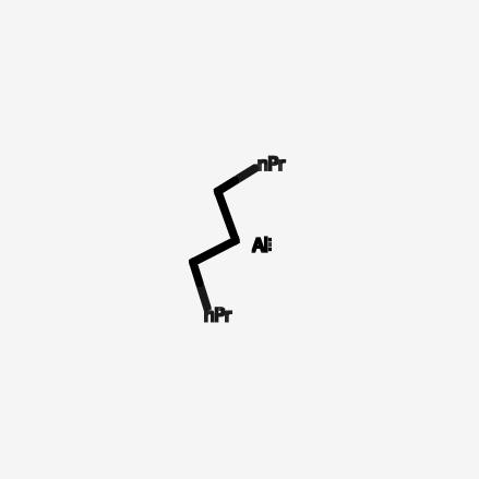 CCCCCCCCC.[Al]